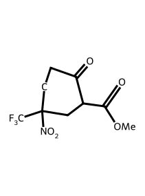 COC(=O)C1CC([N+](=O)[O-])(C(F)(F)F)CCC1=O